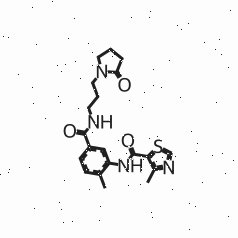 Cc1ccc(C(=O)NCCCN2CCCC2=O)cc1NC(=O)c1scnc1C